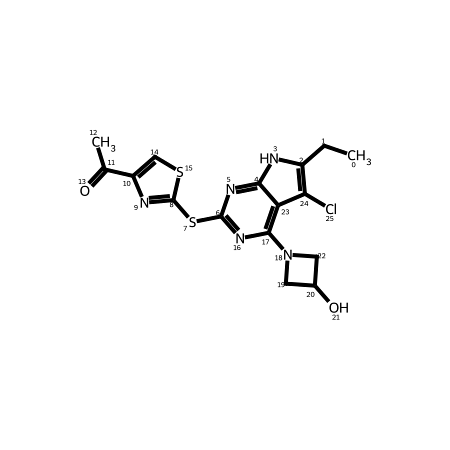 CCc1[nH]c2nc(Sc3nc(C(C)=O)cs3)nc(N3CC(O)C3)c2c1Cl